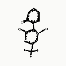 O=c1ccccn1-c1c(Cl)cc(C(F)(F)F)cc1Cl